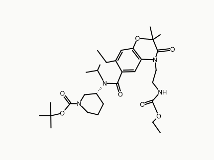 CCOC(=O)NCCN1C(=O)C(C)(C)Oc2cc(CC)c(C(=O)N(C(C)C)[C@@H]3CCCN(C(=O)OC(C)(C)C)C3)cc21